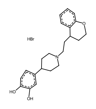 Br.Oc1ccc(C2CCN(CCC3CCOc4ccccc43)CC2)cc1O